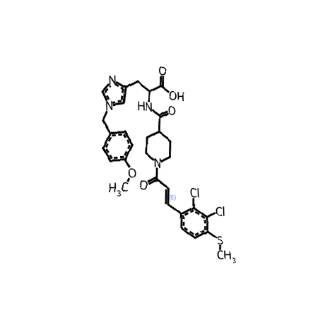 COc1ccc(Cn2cnc(CC(NC(=O)C3CCN(C(=O)/C=C/c4ccc(SC)c(Cl)c4Cl)CC3)C(=O)O)c2)cc1